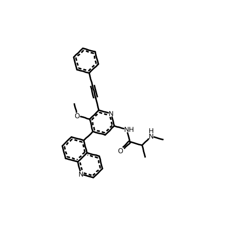 CNC(C)C(=O)Nc1cc(-c2cccc3ncccc23)c(OC)c(C#Cc2ccccc2)n1